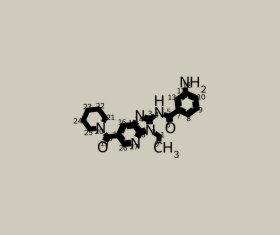 CCn1c(NC(=O)c2cccc(N)c2)nc2cc(C(=O)N3CCCCC3)cnc21